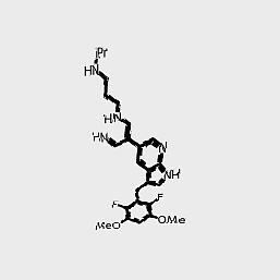 COc1cc(OC)c(F)c(Cc2c[nH]c3ncc(/C(C=N)=C/NCCCNC(C)C)cc23)c1F